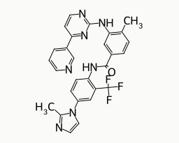 Cc1ccc(C(=O)Nc2ccc(-n3ccnc3C)cc2C(F)(F)F)cc1Nc1nccc(-c2cccnc2)n1